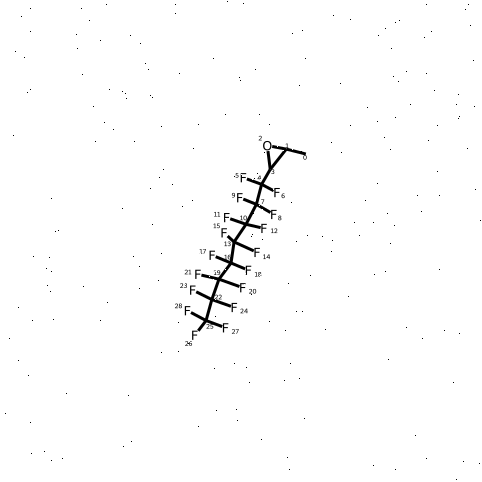 CC1OC1C(F)(F)C(F)(F)C(F)(F)C(F)(F)C(F)(F)C(F)(F)C(F)(F)C(F)(F)F